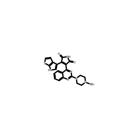 CC(C)(C)N1CCN(c2nc(C3=C(c4c[nH]c5sccc45)C(=O)NC3=O)c3ccccc3n2)CC1